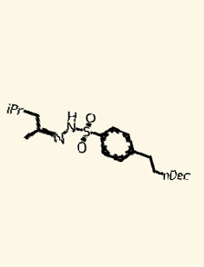 CCCCCCCCCCCCc1ccc(S(=O)(=O)NN=C(C)CC(C)C)cc1